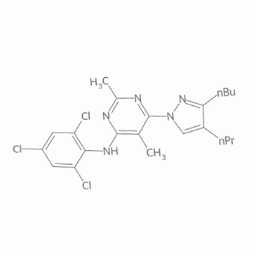 CCCCc1nn(-c2nc(C)nc(Nc3c(Cl)cc(Cl)cc3Cl)c2C)cc1CCC